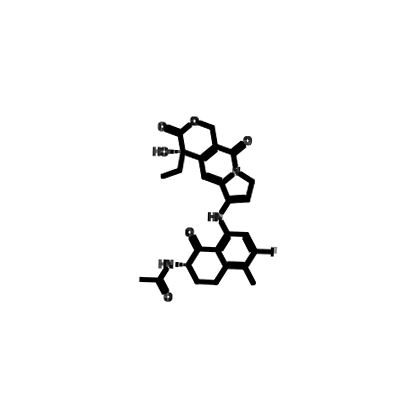 CC[C@@]1(O)C(=O)OCc2c1cc1n(c2=O)CC=C1Nc1cc(F)c(C)c2c1C(=O)[C@@H](NC(C)=O)CC2